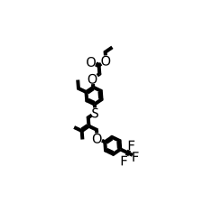 CCOC(=O)COc1ccc(SCC(COc2ccc(C(F)(F)F)cc2)=C(C)C)cc1CC